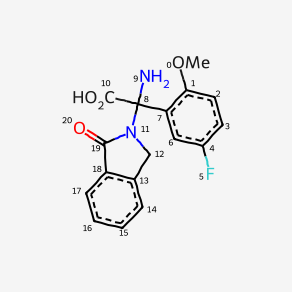 COc1ccc(F)cc1C(N)(C(=O)O)N1Cc2ccccc2C1=O